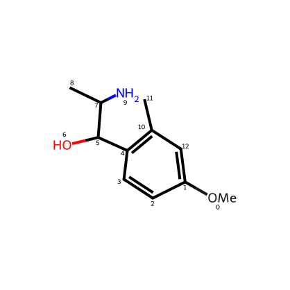 COc1ccc(C(O)C(C)N)c(C)c1